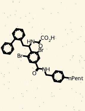 CCCCCc1ccc(CNC(=O)c2cc(Br)c(C(Cc3ccccc3-c3ccccc3)NC(=O)C(=O)O)c(Br)c2)cc1